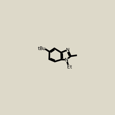 CCn1c(C)nc2cc(C(C)(C)C)ccc21